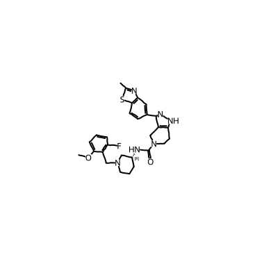 COc1cccc(F)c1CN1CCC[C@@H](NC(=O)N2CCc3[nH]nc(-c4ccc5sc(C)nc5c4)c3C2)C1